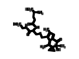 CC1=C(CSCC(NC(=O)CCC(N)C(=O)O)C(=O)NCC(=O)O)C2=C(C)C3(CC3)[C@@](C)(O)C(=O)C2=C1